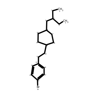 CCC(CC)CC1CCC(CCc2ccc(Br)cc2)CC1